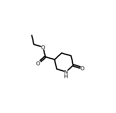 CCOC(=O)C1CCC(=O)NC1